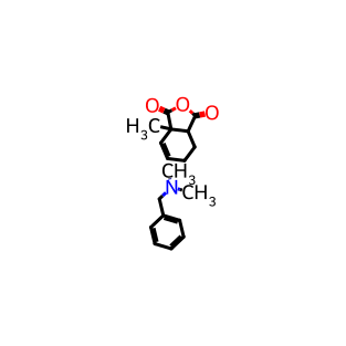 CC12C=CCCC1C(=O)OC2=O.CN(C)Cc1ccccc1